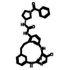 O=C(Nc1ccc2cc1CCC1C=CC=C(C1)Nc1ncc(Cl)c(n1)N2)N[C@@H]1CCN(C(=O)c2ccccc2)C1